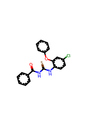 O=C(NC(=S)Nc1ccc(Cl)cc1Oc1ccccc1)c1ccccc1